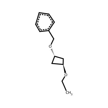 CCO[C@H]1C[C@H](OCc2ccccc2)C1